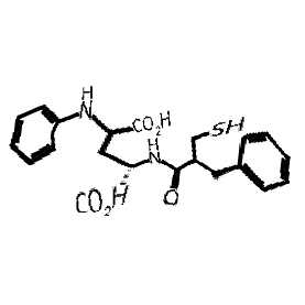 O=C(N[C@@H](CC(Nc1ccccc1)C(=O)O)C(=O)O)C(CS)Cc1ccccc1